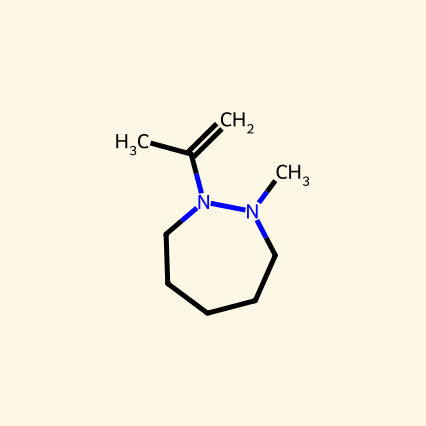 C=C(C)N1CCCCCN1C